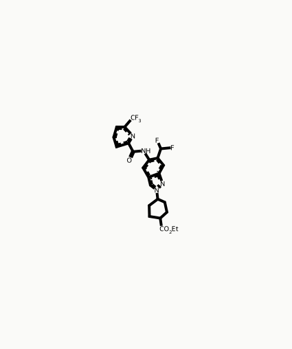 CCOC(=O)C1CCC(n2cc3cc(NC(=O)c4cccc(C(F)(F)F)n4)c(C(F)F)cc3n2)CC1